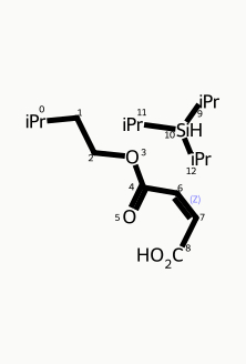 CC(C)CCOC(=O)/C=C\C(=O)O.CC(C)[SiH](C(C)C)C(C)C